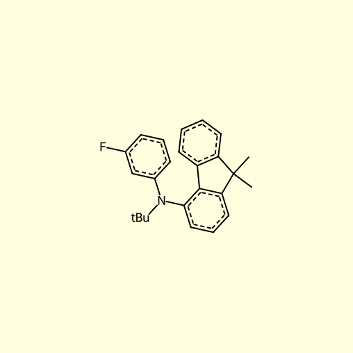 CC1(C)c2ccccc2-c2c(N(c3cccc(F)c3)C(C)(C)C)cccc21